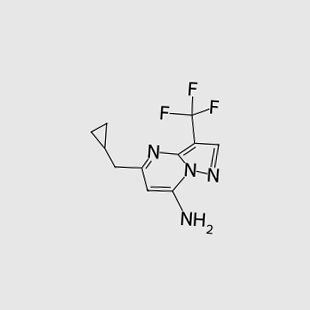 Nc1cc(CC2CC2)nc2c(C(F)(F)F)cnn12